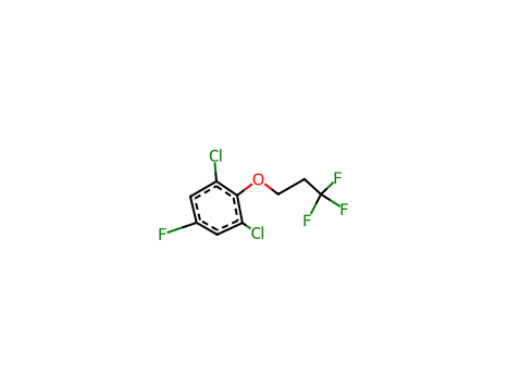 Fc1cc(Cl)c(OCCC(F)(F)F)c(Cl)c1